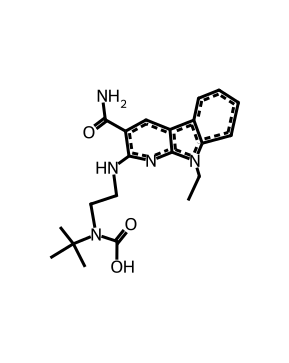 CCn1c2ccccc2c2cc(C(N)=O)c(NCCN(C(=O)O)C(C)(C)C)nc21